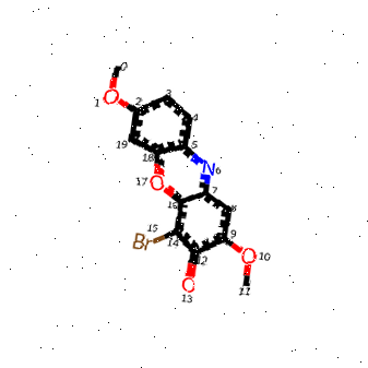 COc1ccc2nc3cc(OC)c(=O)c(Br)c-3oc2c1